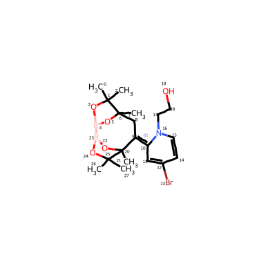 CC1(C)OB2OC1(C)C/C(=C1/C=C(Br)C=CN1CCO)C1(C)OB2OC1(C)C